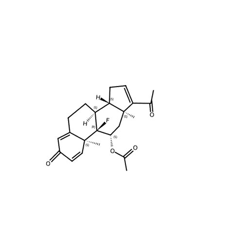 CC(=O)O[C@H]1C[C@]2(C)C(C(C)=O)=CC[C@H]2[C@@H]2CCC3=CC(=O)C=C[C@]3(C)[C@@]12F